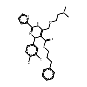 CN(C)CCOCC1=C(C(=O)OCCCc2ccccc2)C(c2ccc(Cl)c(Cl)c2)N=C(c2cccs2)N1